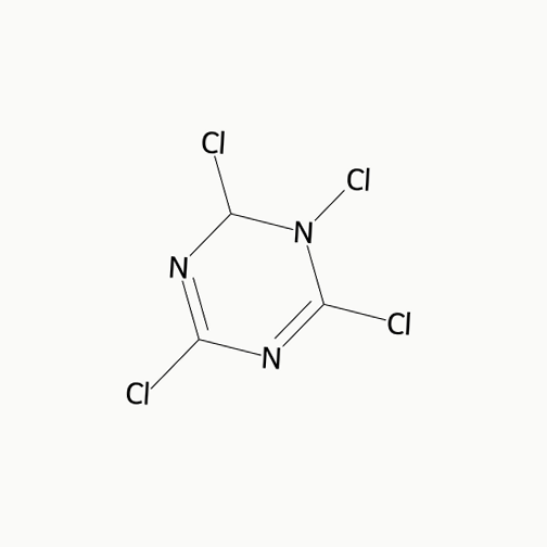 ClC1=NC(Cl)N(Cl)C(Cl)=N1